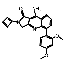 COc1ccc(-c2cccc3c(N)c4c(nc23)CN(C2=CC=C2)C4=O)c(OC)c1